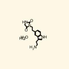 Cl.NCCc1c[nH]c2ccc(CCN3C(=O)CNC3=O)cc12.O